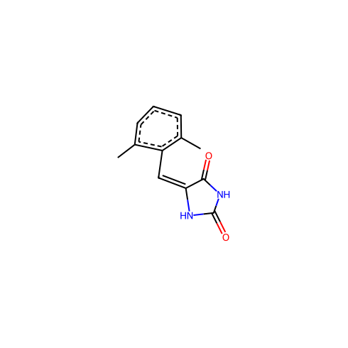 Cc1cccc(C)c1/C=C1/NC(=O)NC1=O